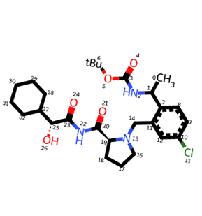 CC(NC(=O)OC(C)(C)C)c1ccc(Cl)cc1CN1CCC[C@H]1C(=O)NC(=O)[C@H](O)C1CCCCC1